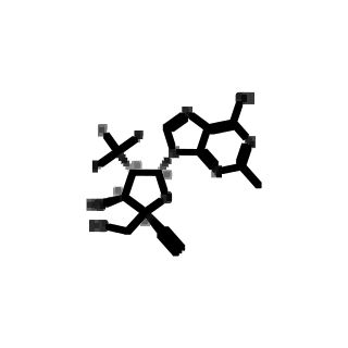 C#C[C@]1(CO)O[C@@H](n2cnc3c(O)nc(C)nc32)[C@@H](C(F)(F)F)[C@@H]1O